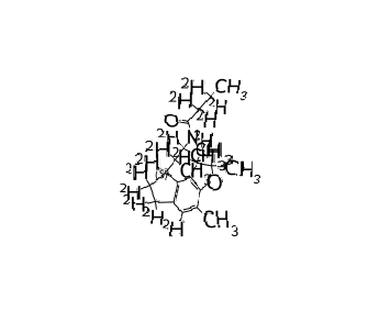 [2H]c1c(C)c2c(c3c1C([2H])([2H])C([2H])([2H])[C@@]3([2H])C([2H])(C)C([2H])(C)N([2H])C(=O)C([2H])([2H])C([2H])([2H])C)C([2H])(C)C([2H])(C)O2